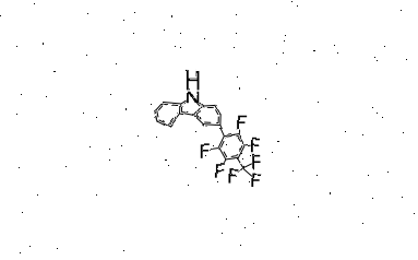 Fc1c(F)c(C(F)(F)F)c(F)c(F)c1-c1ccc2[nH]c3ccccc3c2c1